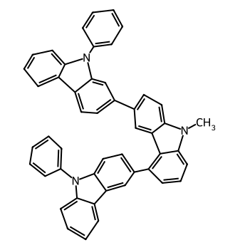 Cn1c2ccc(-c3ccc4c5ccccc5n(-c5ccccc5)c4c3)cc2c2c(-c3ccc4c(c3)c3ccccc3n4-c3ccccc3)cccc21